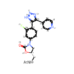 CC(=O)NC[C@H]1CN(c2ccc(-c3[nH]nnc3-c3ccncc3)c(F)c2)C(=O)O1